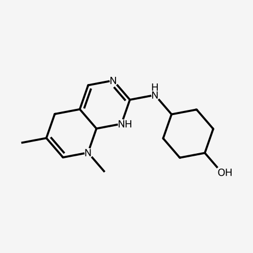 CC1=CN(C)C2NC(NC3CCC(O)CC3)=NC=C2C1